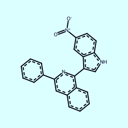 O=[N+]([O-])c1ccc2[nH]cc(-c3nc(-c4ccccc4)cc4ccccc34)c2c1